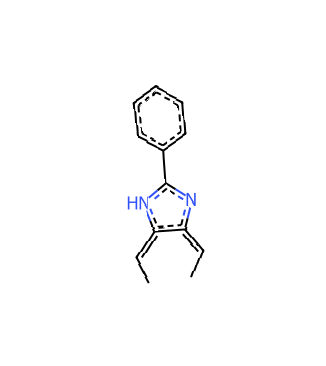 C/C=c1/nc(-c2ccccc2)[nH]/c1=C/C